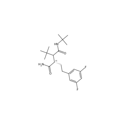 CC(C)(C)NC(=O)C([C@H](CCc1cc(F)cc(F)c1)C(N)=O)C(C)(C)C